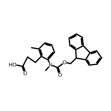 Cc1cccc(N(C)C(=O)OCC2c3ccccc3-c3ccccc32)c1CCC(=O)O